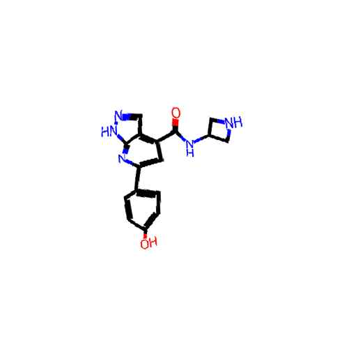 O=C(NC1CNC1)c1cc(-c2ccc(O)cc2)nc2[nH]ncc12